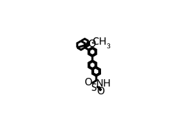 COc1ccc(-c2ccc3cc(C4NC(=O)SC4=O)ccc3c2)cc1C12CC3CC(CC(C3)C1)C2